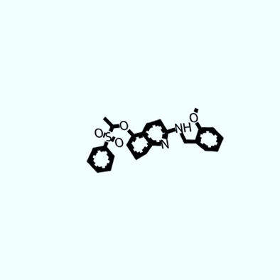 COc1ccccc1CNc1ccc2c(OC(C)S(=O)(=O)c3ccccc3)cccc2n1